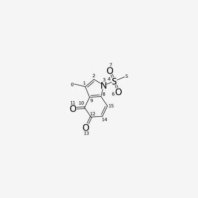 Cc1cn(S(C)(=O)=O)c2c1C(=O)C(=O)C=C2